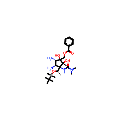 C[C@H](O[Si](C)(C)C(C)(C)C)[C@]1(NC(=O)N(C)C)[C@@H](N)[C@H](N)[C@](O)(COC(=O)c2ccccc2)[C@]1(C)O